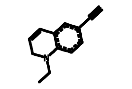 C#Cc1ccc2c(c1)C=CCN2CC